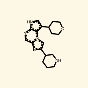 c1[nH]c2ncc3nc(C4CCCNC4)cn3c2c1C1CCOCC1